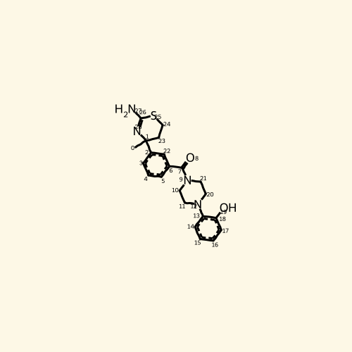 CC1(c2cccc(C(=O)N3CCN(c4ccccc4O)CC3)c2)CCSC(N)=N1